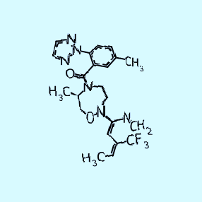 C=N/C(=C\C(=C/C)C(F)(F)F)N1CCN(C(=O)c2cc(C)ccc2-n2nccn2)[C@H](C)CO1